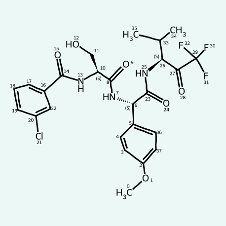 COc1ccc([C@H](NC(=O)[C@H](CO)NC(=O)c2cccc(Cl)c2)C(=O)N[C@H](C(=O)C(F)(F)F)C(C)C)cc1